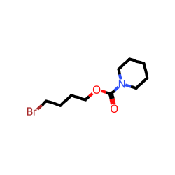 O=C(OCCCCBr)N1CCCCC1